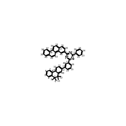 CC1(C)c2ccccc2-c2ccc(-c3cccc(-c4nc(-c5ccccc5)nc(-c5ccc6ccc7c8ccccc8ccc7c6c5)n4)c3)cc2C1(C)C